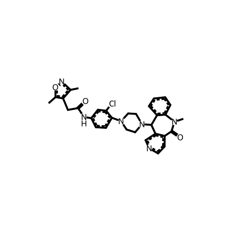 Cc1noc(C)c1CC(=O)Nc1ccc(N2CCN(C3c4cnccc4C(=O)N(C)c4ccccc43)CC2)c(Cl)c1